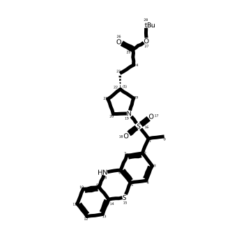 CC(c1ccc2c(c1)Nc1ccccc1S2)S(=O)(=O)N1CC[C@H](CCC(=O)OC(C)(C)C)C1